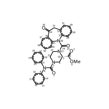 COC(=O)[C@@H]1CN(C(=O)N(c2ccccc2)c2ccccc2)CCN1C(=O)N1c2ccccc2CC(=O)c2ccccc21